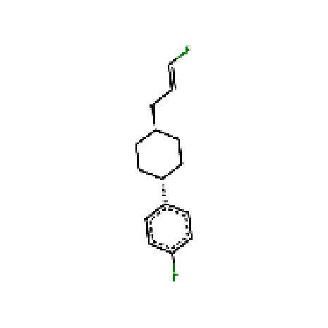 FC=CC[C@H]1CC[C@H](c2ccc(F)cc2)CC1